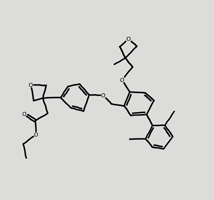 CCOC(=O)CC1(c2ccc(OCc3cc(-c4c(C)cccc4C)ccc3OCC3(C)COC3)cc2)COC1